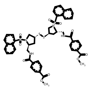 COC(=O)c1ccc(C(=O)NC[C@@H]2C[C@@H](SS[C@@H]3C[C@@H](CNC(=O)c4ccc(C(=O)OC)cc4)N(S(=O)(=O)c4cccc5ccccc45)C3)CN2S(=O)(=O)c2cccc3ccccc23)cc1